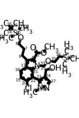 COC(=O)c1c(CCCO[Si](C)(C)C(C)(C)C)c2ccc(Cl)c(-c3c(CO)cnn3C)c2n1COCC[Si](C)(C)C